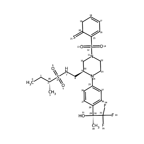 CC[C@@H](C)S(=O)(=O)NC[C@H]1CN(S(=O)(=O)C2=CC=CCC2=S)CCN1c1ccc([C@](C)(O)C(F)(F)F)cc1